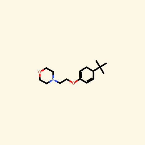 CC(C)(C)C1C=CC(OCCN2CCOCC2)=CC1